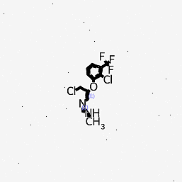 CN/C=N\C=C(/CCl)Oc1cccc(C(F)(F)F)c1Cl